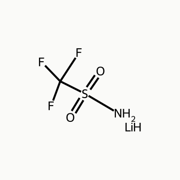 NS(=O)(=O)C(F)(F)F.[LiH]